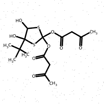 CC(=O)CC(=O)OC1(OC(=O)CC(C)=O)SC(O)C(O)(C(C)(C)C)S1